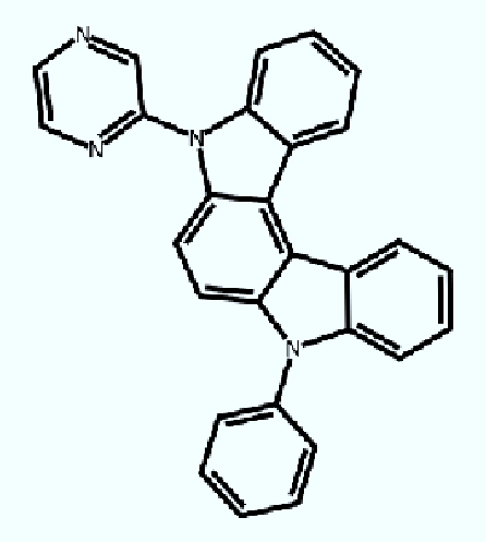 c1ccc(-n2c3ccccc3c3c4c5ccccc5n(-c5cnccn5)c4ccc32)cc1